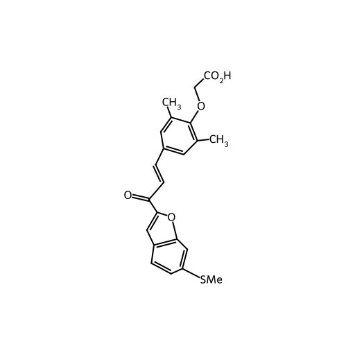 CSc1ccc2cc(C(=O)/C=C/c3cc(C)c(OCC(=O)O)c(C)c3)oc2c1